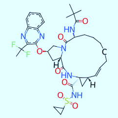 CC(C)(C)C(=O)N[C@H]1CCCCCC=C[C@@H]2C[C@@]2(C(=O)NS(=O)(=O)C2CC2)NC(=O)[C@@H]2C[C@@H](Oc3nc4ccccc4nc3C(C)(F)F)CN2C1=O